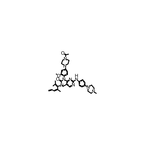 C=C/C=C(/C)C(=C(C)C)N1Cc2cnc(Nc3ccc(N4CCN(C)CC4)cc3)nc2N(c2ccc(N3CCN(C(C)=O)CC3)cc2OC)C1=O